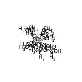 CC(C)Oc1cc(-n2nc(C(C)(C)C)oc2=O)c(Cl)cc1Cl.CON(C)C(=O)Nc1ccc(Oc2ccc3c(c2)OC(C)(OC)CC3(C)C)cc1.CP(=O)(O)CCC(N)C(=O)O